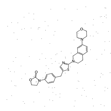 O=C1OCCN1c1ccc(Cc2cnc(N3CCc4ccc(N5CCOCC5)cc4C3)s2)cc1